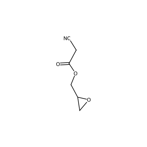 N#CCC(=O)OCC1CO1